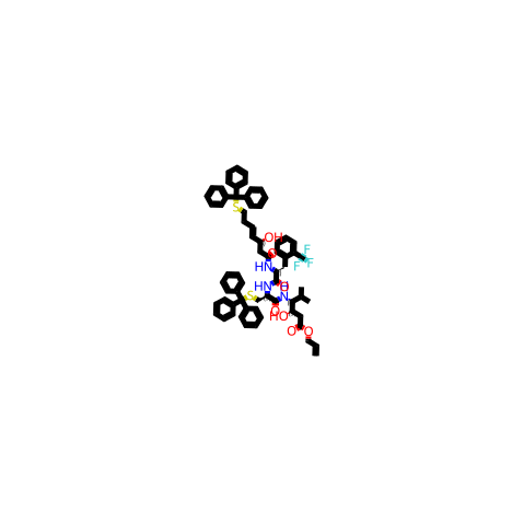 C=CCOC(=O)C[C@H](O)[C@H](NC(=O)[C@@H](CSC(c1ccccc1)(c1ccccc1)c1ccccc1)NC(=O)[C@@H](Cc1ccccc1C(F)(F)F)NC(=O)C[C@H](O)C=CCCSC(c1ccccc1)(c1ccccc1)c1ccccc1)C(C)C